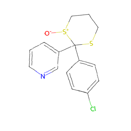 [O-][S+]1CCCSC1(c1ccc(Cl)cc1)c1cccnc1